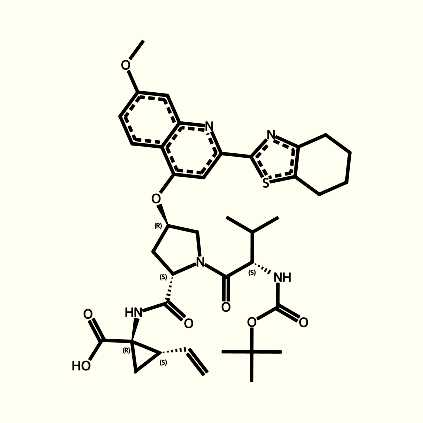 C=C[C@@H]1C[C@]1(NC(=O)[C@@H]1C[C@@H](Oc2cc(-c3nc4c(s3)CCCC4)nc3cc(OC)ccc23)CN1C(=O)[C@@H](NC(=O)OC(C)(C)C)C(C)C)C(=O)O